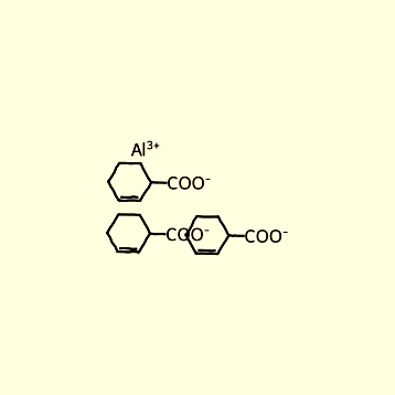 O=C([O-])C1C=CCCC1.O=C([O-])C1C=CCCC1.O=C([O-])C1C=CCCC1.[Al+3]